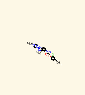 CCc1ccc(OCC(=O)Nc2ccc3nc(N4CCN(C)CC4)nc(C)c3c2)c(Cl)c1